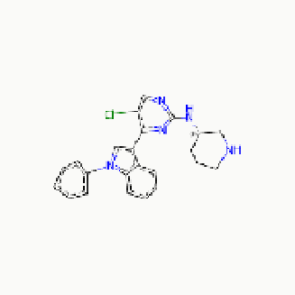 Clc1cnc(N[C@H]2CCCNC2)nc1-c1cn(-c2ccccc2)c2ccccc12